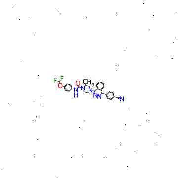 C[C@H]1CN(c2nnc(-c3ccc(C#N)cc3)c3ccccc23)CCN1C(=O)Nc1ccc(OC(F)F)cc1